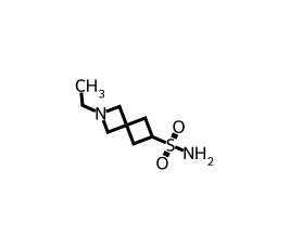 CCN1CC2(CC(S(N)(=O)=O)C2)C1